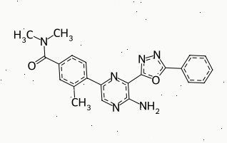 Cc1cc(C(=O)N(C)C)ccc1-c1cnc(N)c(-c2nnc(-c3ccccc3)o2)n1